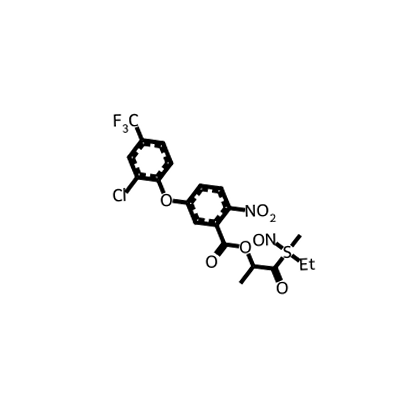 CCS(C)(N=O)C(=O)C(C)OC(=O)c1cc(Oc2ccc(C(F)(F)F)cc2Cl)ccc1[N+](=O)[O-]